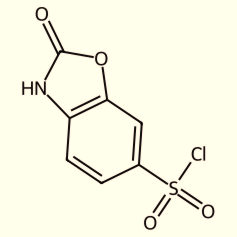 O=c1[nH]c2ccc(S(=O)(=O)Cl)cc2o1